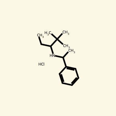 CCC(NC(C)c1ccccc1)C(C)(C)C.Cl